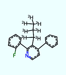 [2H]C([2H])([2H])C([2H])([2H])C([2H])([2H])c1c(-c2ccccc2)ccnc1-c1ccccc1F